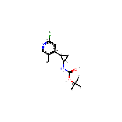 Cc1cnc(Cl)cc1C1CC1NC(=O)OC(C)(C)C